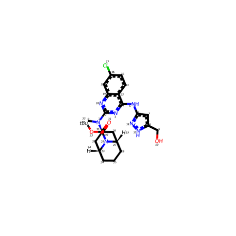 CN(c1nc(Nc2cc(CO)[nH]n2)c2ccc(Cl)cc2n1)[C@@H]1C[C@H]2CCC[C@@H](C1)N2C(=O)OC(C)(C)C